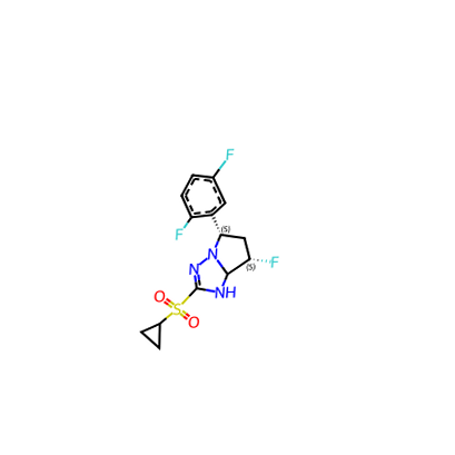 O=S(=O)(C1=NN2C(N1)[C@@H](F)C[C@H]2c1cc(F)ccc1F)C1CC1